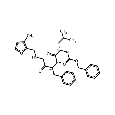 Cc1ccoc1CNCC(=O)[C@H](Cc1ccccc1)NC(=O)[C@H](CC(C)C)NC(=O)OCc1ccccc1